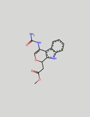 COC(=O)CC1OC=C(NC(N)=O)c2c1[nH]c1ccccc21